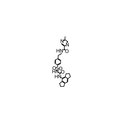 Cc1cnc(C(=O)NCCc2ccc(S(=O)(=O)NC(=O)Nc3c4c(cc5c3CCC5)CCC4)cc2)cn1